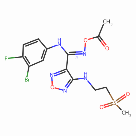 CC(=O)O/N=C(\Nc1ccc(F)c(Br)c1)c1nonc1NCCS(C)(=O)=O